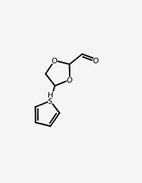 O=CC1OCC([SH]2C=CC=C2)O1